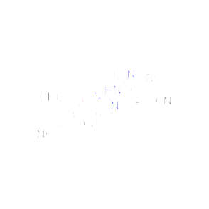 Cc1cc(C#N)cc(C)c1Oc1ccnc(Nc2ccc(C#N)c(Br)c2N)n1